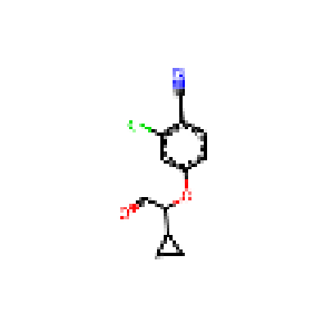 N#Cc1ccc(OC(C=O)C2CC2)cc1Cl